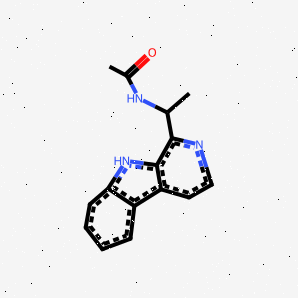 CC(=O)NC(C)c1nccc2c1[nH]c1ccccc12